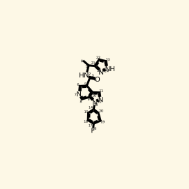 CC(NC(=O)c1cncc2c1cnn2-c1ccc(F)cc1)c1cc[nH]n1